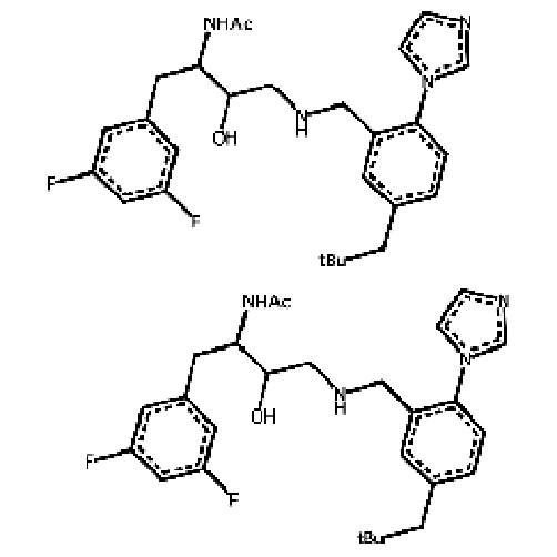 CC(=O)NC(Cc1cc(F)cc(F)c1)C(O)CNCc1cc(CC(C)(C)C)ccc1-n1ccnc1.CC(=O)NC(Cc1cc(F)cc(F)c1)C(O)CNCc1cc(CC(C)(C)C)ccc1-n1ccnc1